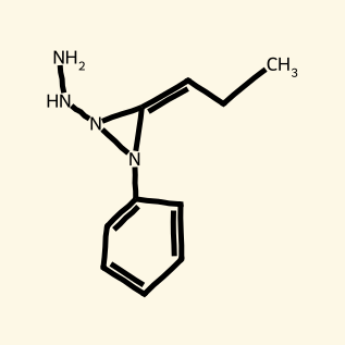 CCC=C1N(NN)N1c1ccccc1